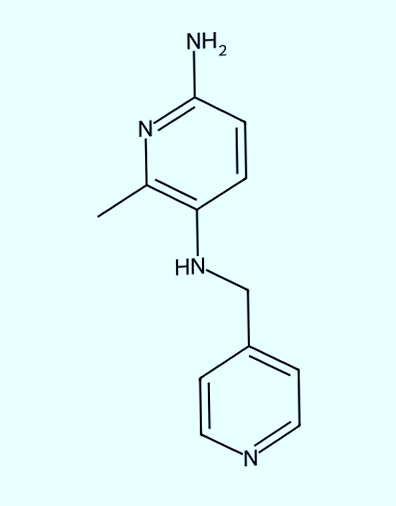 Cc1nc(N)ccc1NCc1ccncc1